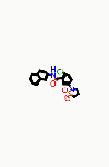 O=C(Nc1ccc2ccccc2c1)c1cc(N2CCCS2(=O)=O)ccc1Cl